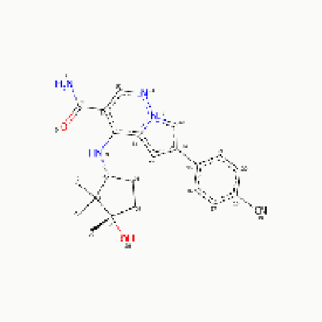 CC1(C)[C@H](Nc2c(C(N)=O)cnn3cc(-c4ccc(C#N)cc4)cc23)CC[C@]1(C)O